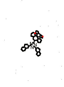 c1ccc2c(c1)CC(c1nc(-c3ccc4ccccc4c3)nc(-c3ccc4ccccc4c3)n1)c1ccccc1C21c2ccccc2-c2ccccc21